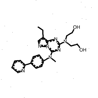 CCc1cnn2c(N(C)c3ccc(-c4ccccn4)cc3)nc(N(CCO)CCO)nc12